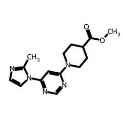 COC(=O)C1CCN(c2cc(-n3ccnc3C)ncn2)CC1